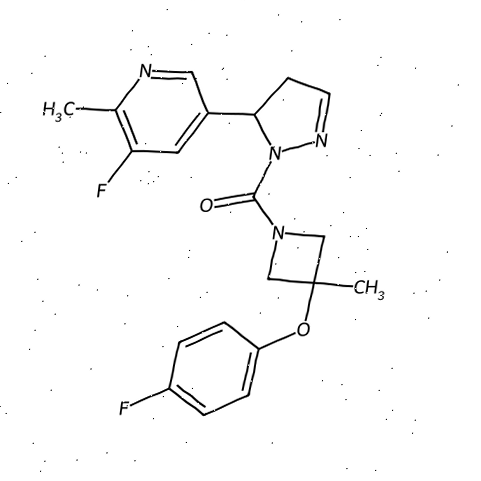 Cc1ncc(C2CC=NN2C(=O)N2CC(C)(Oc3ccc(F)cc3)C2)cc1F